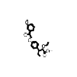 CCOC(C(=O)O)C(CC)c1ccc(OCC(=O)c2cccc(OC)c2)cc1